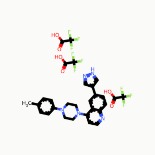 Cc1ccc(N2CCN(c3ccnc4ccc(-c5cn[nH]c5)cc34)CC2)cc1.O=C(O)C(F)(F)F.O=C(O)C(F)(F)F.O=C(O)C(F)(F)F